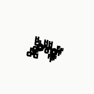 Cc1cc(NC(=O)Nc2cc(C(F)(F)F)cc(C(F)(F)F)c2)ccc1OC(F)(F)C(Cl)Cl